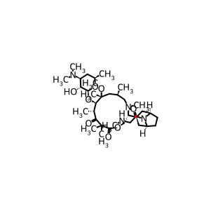 CNCC(=O)N1[C@@H]2CC[C@H]1C[C@@H]([C@@H]1COC(=O)C(C)(C)C(=O)[C@H](C)[C@@H](O[C@@H]3O[C@H](C)C[C@H](N(C)C)[C@H]3O)[C@](C)(OC)C[C@@H](C)CN1C)C2